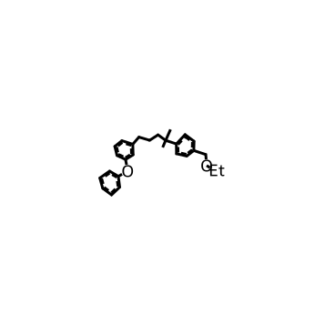 CCOCc1ccc(C(C)(C)CCCc2cccc(Oc3ccccc3)c2)cc1